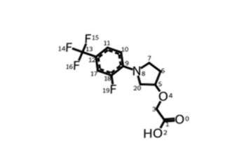 O=C(O)COC1CCN(c2ccc(C(F)(F)F)cc2F)C1